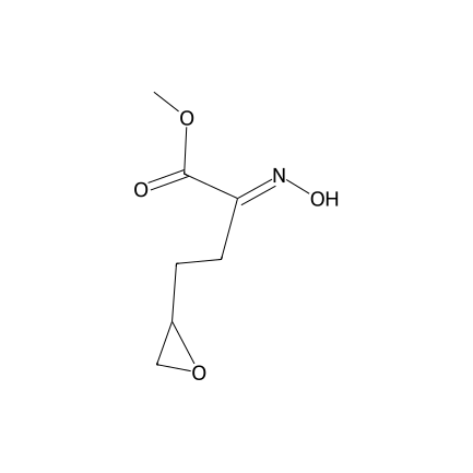 COC(=O)/C(CCC1CO1)=N/O